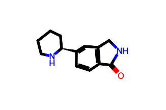 O=C1NCc2cc([C@@H]3CCCCN3)ccc21